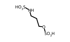 O=S(=O)(O)NCCCOS(=O)(=O)O